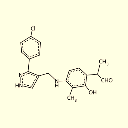 Cc1c(NCc2c[nH]nc2-c2ccc(Cl)cc2)ccc(C(C)C=O)c1O